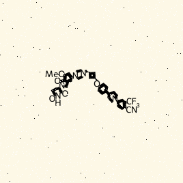 COc1cc(N2CCN(C[C@H]3C[C@H](COc4ccc(C5CCN(c6ccc(C#N)c(C(F)(F)F)c6)CC5)cc4)C3)CC2)cc2c1C(=O)N(C1CCC(=O)NC1=O)C2